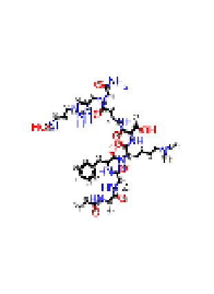 CCN(CCCC[C@H](NC(=O)C(Cc1ccccc1)NC(=O)[C@H](C)NC(=O)[C@H](C)NC(=O)CC(C)C)C(=O)NC(C(=O)NCCC(=O)N(CC(N)=O)CC1=CN(CCCNO)NN1)[C@@H](C)O)C(C)C